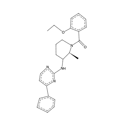 CCOc1ccccc1C(=O)N1CCCC(Nc2nccc(-c3ccccc3)n2)[C@@H]1C